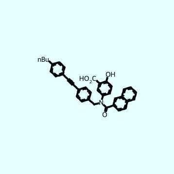 CCCCc1ccc(C#Cc2ccc(CN(C(=O)c3ccc4ccccc4c3)c3ccc(O)c(C(=O)O)c3)cc2)cc1